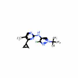 CC(C)(C#N)n1cc(Nc2ncc(C(F)(F)F)c(C3CC3)n2)c(Cl)n1